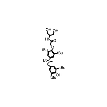 CCS(C)(Sc1cc(C(C)(C)C)c(O)c(C(C)(C)C)c1)c1cc(C(C)(C)C)c(OCC(=O)NC(CO)CO)c(C(C)(C)C)c1